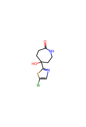 O=C1CCC(O)(c2ncc(Br)s2)CCN1